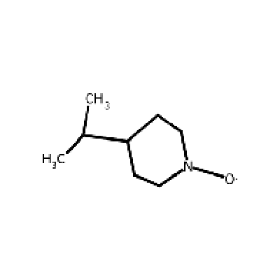 CC(C)C1CCN([O])CC1